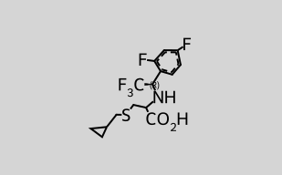 O=C(O)C(CSCC1CC1)N[C@H](c1ccc(F)cc1F)C(F)(F)F